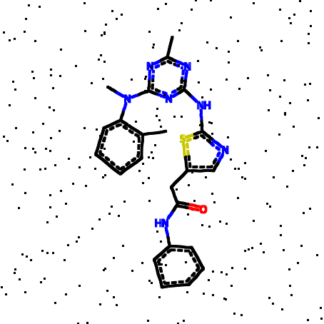 Cc1nc(Nc2ncc(CC(=O)Nc3ccccc3)s2)nc(N(C)c2ccccc2C)n1